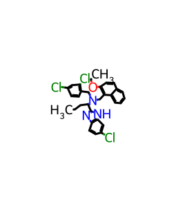 CCCC(c1nc2ccc(Cl)cc2[nH]1)N(Cc1ccc(Cl)cc1Cl)Cc1c(OCC)ccc2ccccc12